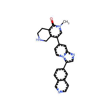 Cn1cc(-c2ccn3c(-c4ccc5cnccc5c4)cnc3c2)c2c(c1=O)CCNC2